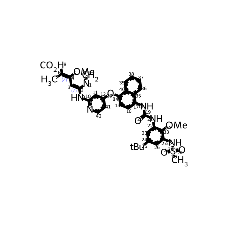 C=N/C(=C\C(OC)=C(/C)C(=O)O)Nc1cc(Oc2ccc(NC(=O)Nc3cc(C(C)(C)C)cc(NS(C)(=O)=O)c3OC)c3ccccc23)ccn1